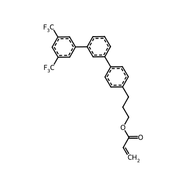 C=CC(=O)OCCCc1ccc(-c2cccc(-c3cc(C(F)(F)F)cc(C(F)(F)F)c3)c2)cc1